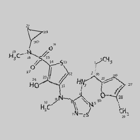 CC[C@@H](Nc1nsnc1N(C)c1csc(S(=O)(=O)N(C)C2CC2)c1O)c1ccc(C)o1